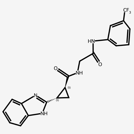 O=C(CNC(=O)[C@H]1C[C@@H]1c1nc2ccccc2[nH]1)Nc1cccc(C(F)(F)F)c1